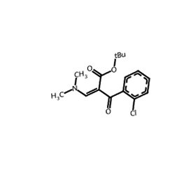 CN(C)C=C(C(=O)OC(C)(C)C)C(=O)c1ccccc1Cl